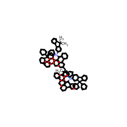 CC1(C)c2ccccc2-c2cc(N(c3cccc(-c4ccccc4)c3-c3ccccc3)c3c(-c4ccc5c(c4)C(c4ccccc4)(c4ccccc4)c4ccccc4-5)c4ccc(CC5(C)c6ccccc6-c6c(-c7c(N(c8ccc9c(c8)C(c8ccccc8)(c8ccccc8)c8ccccc8-9)c8cccc(-c9ccccc9)c8-c8ccccc8)c8ccccc8c8ccccc78)cccc65)cc4c4ccccc34)ccc21